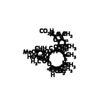 CO[C@]1(C)C[C@H](O[C@H]2[C@H](C)[C@@H](O[C@@H]3O[C@H](C)C[C@H](N(C)C)[C@H]3OCCC(=O)O)[C@](C)(O)C[C@@H](C)CN(C)[C@H](C)[C@@H](O)[C@](C)(O)[C@@H](I)OC(=O)[C@@H]2C)O[C@@H](C)[C@@H]1O